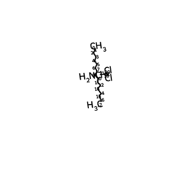 CCCCCCCCC(N)CCCCCCCC.ClC(Cl)Cl